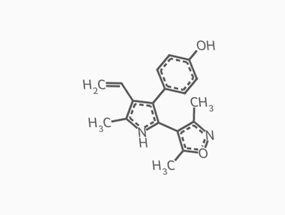 C=Cc1c(C)[nH]c(-c2c(C)noc2C)c1-c1ccc(O)cc1